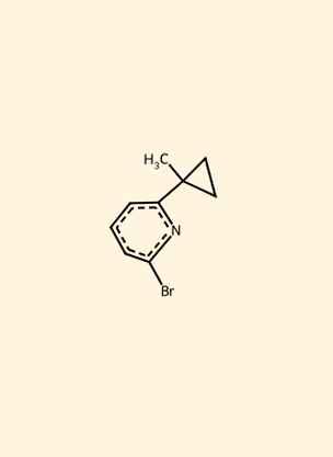 CC1(c2cccc(Br)n2)CC1